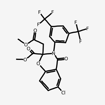 COC(=O)CC1(C(=O)OC)Oc2ccc(Cl)cc2C(=O)N1c1cc(C(F)(F)F)cc(C(F)(F)F)c1